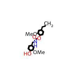 C=CCc1ccc(OC(=O)NCc2ccc(O)c(OC)c2)c(OC)c1